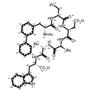 CC[C@H](C)[C@H](NC(=O)[C@H](CC(=O)O)NC(=O)[C@H](CC(C)C)NC(=O)[C@@H](Cc1cccc(-c2ccccc2)c1)NC(C)=O)C(=O)N[C@H](C(=O)N[C@@H](Cc1c[nH]c2ccccc12)C(=O)O)[C@@H](C)CC